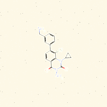 NCc1cccc(-c2ccc3c(=O)n(N)c(=O)n(C4CC4)c3c2Cl)c1